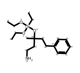 CCO[Si](CC)(OCC)OC(C)(CCN)CCc1ccccc1